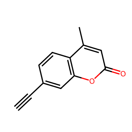 C#Cc1ccc2c(C)cc(=O)oc2c1